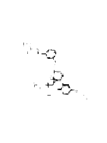 COc1ccc(F)c(-c2ccc(OCc3cccc(OCC(=O)O)c3)nc2CC(C)(C)C)c1